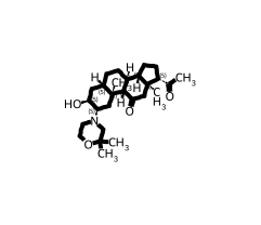 CC(=O)[C@H]1CC[C@H]2[C@@H]3CC[C@H]4C[C@H](O)[C@@H](N5CCOC(C)(C)C5)C[C@]4(C)[C@H]3C(=O)C[C@]12C